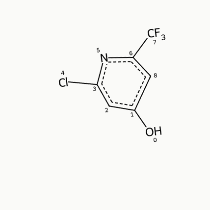 Oc1cc(Cl)nc(C(F)(F)F)c1